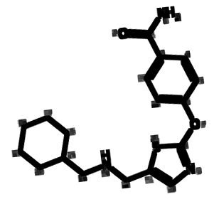 NC(=O)c1ccc(Oc2ncc(CNCC3CCCCC3)s2)cc1